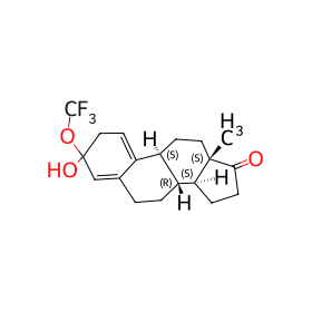 C[C@]12CC[C@@H]3C4=CCC(O)(OC(F)(F)F)C=C4CC[C@H]3[C@@H]1CCC2=O